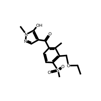 CCOCc1c(S(C)(=O)=O)ccc(C(=O)c2cnn(C)c2O)c1C